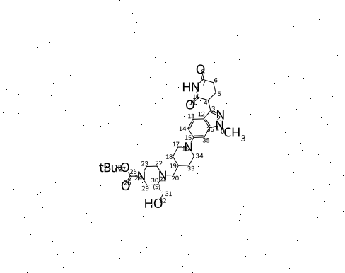 Cn1nc(C2CCC(=O)NC2=O)c2ccc(N3CCC(CN4CCN(C(=O)OC(C)(C)C)C[C@H]4CO)CC3)cc21